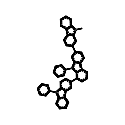 Cn1c2ccccc2c2ccc(-c3ccc4c5cccc(-c6ccc7c(c6)c6ccccc6n7-c6ccccc6)c5n(-c5ccccc5)c4c3)cc21